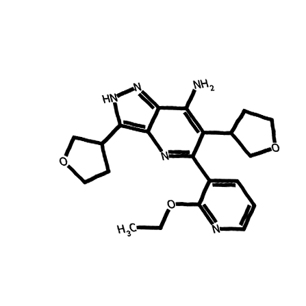 CCOc1ncccc1-c1nc2c(C3CCOC3)[nH]nc2c(N)c1C1CCOC1